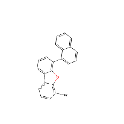 CC(C)c1cccc2c1oc1c(-c3cccc4ccccc34)cccc12